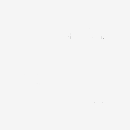 NC(=O)c1cc(-c2csc(C=O)c2)cc2c(C3CCS(O)(O)CC3)c[nH]c12